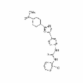 COC(=O)C1CCC(c2ncc(-c3ccc(NC(=O)Nc4ccccc4Cl)cc3)s2)CC1